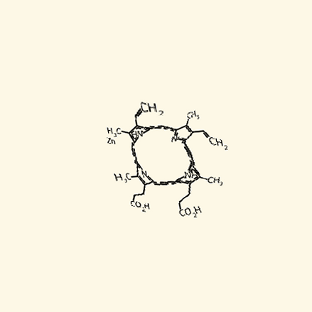 C=CC1=C(C)c2cc3[nH]c(cc4nc(cc5[nH]c(cc1n2)c(C)c5CCC(=O)O)C(CCC(=O)O)=C4C)c(C)c3C=C.[Zn]